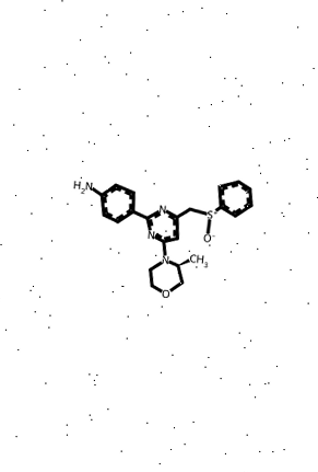 C[C@H]1COCCN1c1cc(C[S+]([O-])c2ccccc2)nc(-c2ccc(N)cc2)n1